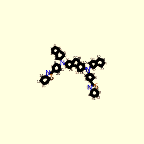 c1ccc2cc(N(c3ccc(-c4nc5ccccc5s4)cc3)c3ccc4c(ccc5cc(N(c6ccc(-c7nc8ccccc8s7)cc6)c6ccc7ccccc7c6)ccc54)c3)ccc2c1